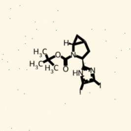 CC(C)(C)OC(=O)N1[C@@H]2CC2C[C@H]1c1nc(I)c(I)[nH]1